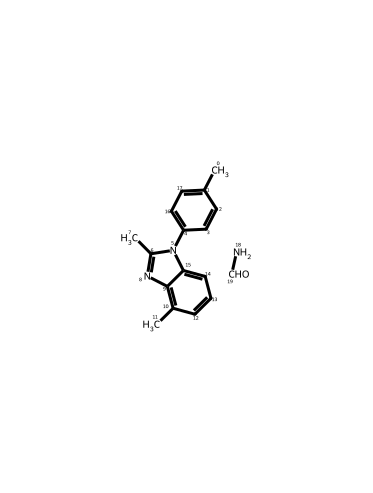 Cc1ccc(-n2c(C)nc3c(C)cccc32)cc1.NC=O